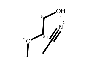 CC#N.COCCO